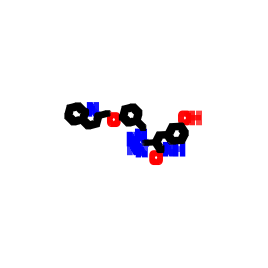 O=c1[nH]c2ccc(O)cc2cc1-c1nnnn1Cc1cccc(OCc2ccc3ccccc3n2)c1